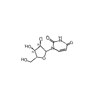 O=c1ccn(C2OC(CO)[C@@H](O)[C@H]2Cl)c(=O)[nH]1